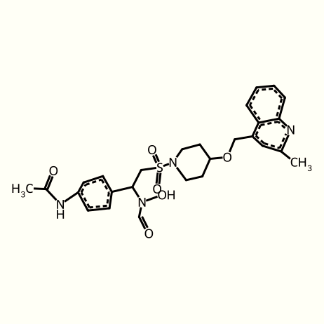 CC(=O)Nc1ccc(C(CS(=O)(=O)N2CCC(OCc3cc(C)nc4ccccc34)CC2)N(O)C=O)cc1